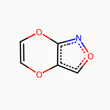 C1=COc2nocc2O1